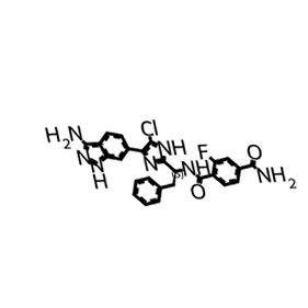 NC(=O)c1ccc(C(=O)N[C@@H](Cc2ccccc2)c2nc(-c3ccc4c(N)n[nH]c4c3)c(Cl)[nH]2)c(F)c1